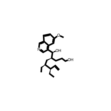 C=C[C@@H](CC)[C@@H](CC)C[C@H](CCCO)[C@H](O)c1cncc2ccc(OC)cc12